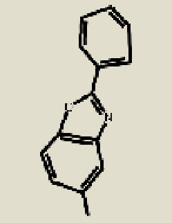 Cc1ccc2oc(-c3cc[c]cc3)nc2c1